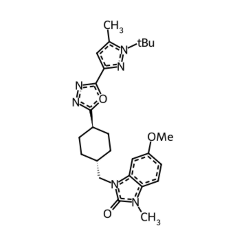 COc1ccc2c(c1)n(C[C@H]1CC[C@H](c3nnc(-c4cc(C)n(C(C)(C)C)n4)o3)CC1)c(=O)n2C